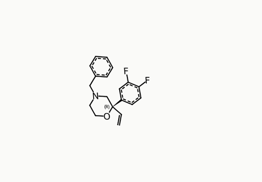 C=C[C@@]1(c2ccc(F)c(F)c2)CN(Cc2ccccc2)CCO1